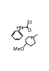 CCC(=O)Nc1ccccc1.COC1CCN(C)CC1